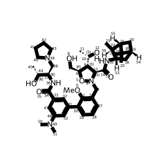 COc1c(CN2O[C@@H](CO)[C@H]([C@H](C)O)[C@H]2C(=O)N[C@H]2C[C@H]3C[C@@H]([C@@H]2C)C3(C)C)cccc1-c1cc(C(=O)N[C@H](CN2CCCC2)[C@@H](C)O)cc(N(C)C)c1